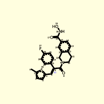 Cc1ccc(/C=C(/C(=O)N2CCc3ccc(C(=O)NO)cc3C2)c2ccc(F)cc2)s1